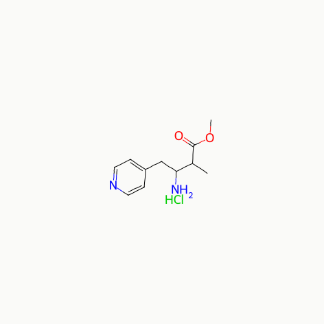 COC(=O)C(C)C(N)Cc1ccncc1.Cl